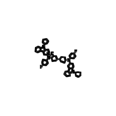 CC1C=C(C2C=CC(N(c3ccc(F)cc3)c3ccc4c(c3)c3ccccc3n4C3C=CC=CC3)=CC2)C=CC1N(c1ccc(F)cc1)c1ccc2c(c1)c1ccccc1n2-c1ccccc1